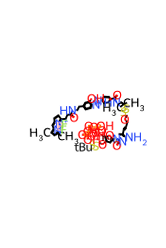 Cc1cc(C)n2c1C=C1C=CC(CCC(=O)NCCc3ccc(/N=N/C4=CCC(C(=O)NCC(C)(C)SSCOCC#Cc5cn([C@H]6CC(OCSSC(C)(C)C)[C@@H](COP(=O)(O)OP(=O)(O)OP(=O)(O)O)O6)c(=O)nc5N)C=C4)c(O)c3)=[N+]1[B-]2(F)F